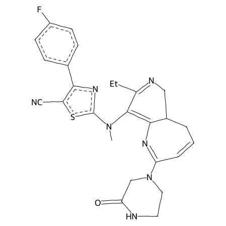 CCC1=NCC2CC=CC(N3CCNC(=O)C3)=NC2=C1N(C)c1nc(-c2ccc(F)cc2)c(C#N)s1